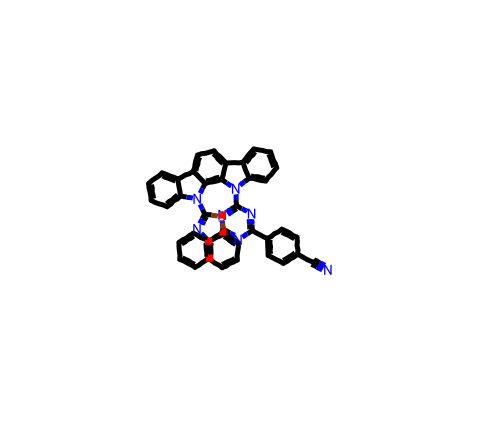 N#Cc1ccc(-c2nc(-c3ccccc3)nc(-n3c4ccccc4c4ccc5c6ccccc6n(-c6nc7ccccc7s6)c5c43)n2)cc1